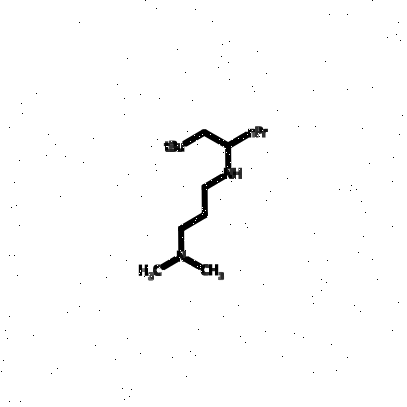 CCCC(CC(C)(C)C)NCCCN(C)C